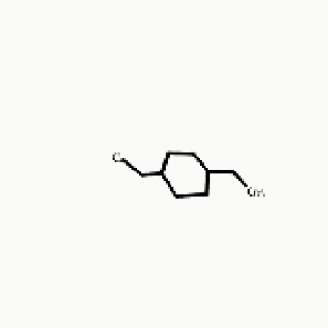 OCC1CCC(CCl)CC1